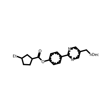 CCCCCCCCCCCc1cnc(-c2ccc(OC(=O)C3CCC(CC)C3)cc2)nc1